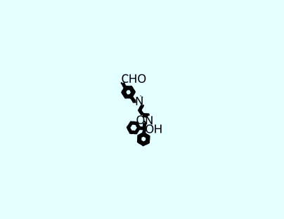 CN(CCc1cnc([C@](O)(c2ccccc2)C2CCCCC2)o1)Cc1ccc(CC=O)cc1